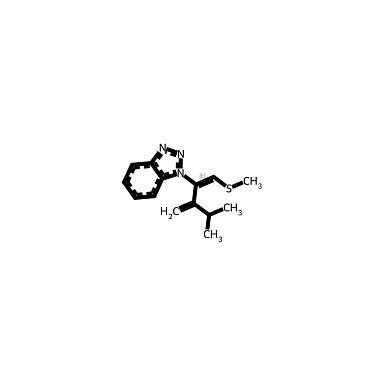 C=C(/C(=C\SC)n1nnc2ccccc21)C(C)C